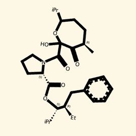 CC[C@H](Cc1ccccc1)[C@@H](OC(=O)[C@@H]1CCCN1C(=O)C1(O)OC(C(C)C)CC[C@@H](C)C1=O)C(C)C